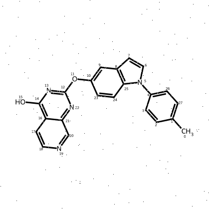 Cc1ccc(-n2ccc3cc(Oc4nc(O)c5ccncc5n4)ccc32)cc1